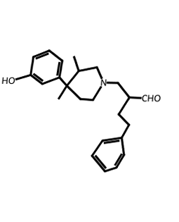 CC1CN(C[C](C=O)CCc2ccccc2)CCC1(C)c1cccc(O)c1